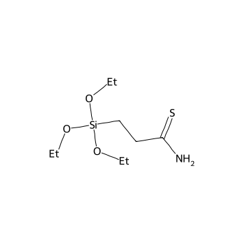 CCO[Si](CCC(N)=S)(OCC)OCC